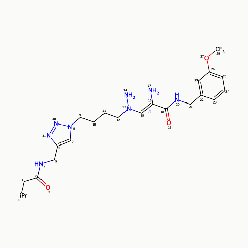 CC(C)CC(=O)NCc1cn(CCCCN(N)/C=C(\N)C(=O)NCc2cccc(OC(F)(F)F)c2)nn1